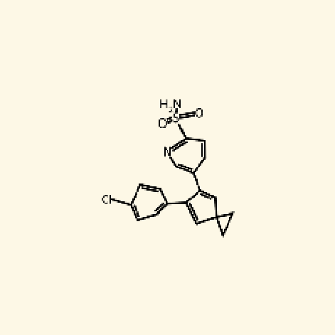 NS(=O)(=O)c1ccc(C2=CC3(C=C2c2ccc(Cl)cc2)CC3)cn1